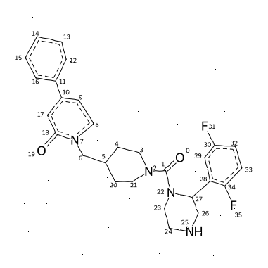 O=C(N1CCC(Cn2ccc(-c3ccccc3)cc2=O)CC1)N1CCNCC1c1cc(F)ccc1F